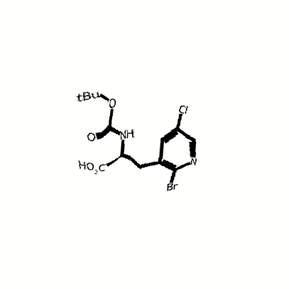 CC(C)(C)OC(=O)N[C@@H](Cc1cc(Cl)cnc1Br)C(=O)O